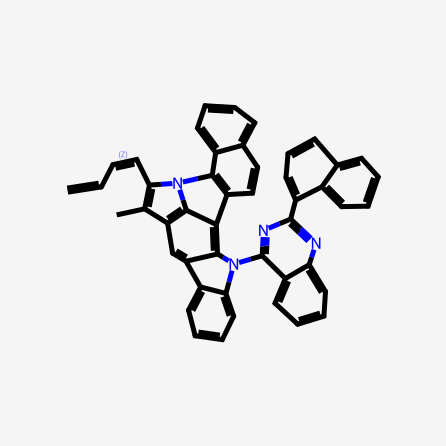 C=C/C=C\c1c(C)c2cc3c4ccccc4n(-c4nc(-c5cccc6ccccc56)nc5ccccc45)c3c3c4ccc5ccccc5c4n1c23